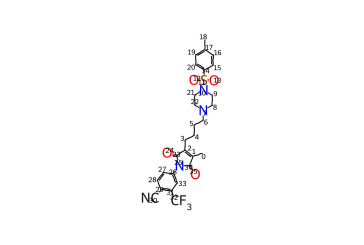 CC1=C(CCCCN2CCN(S(=O)(=O)c3ccc(C)cc3)CC2)C(=O)N(c2ccc(C#N)c(C(F)(F)F)c2)C1=O